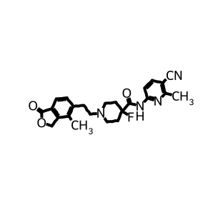 Cc1nc(NC(=O)C2(F)CCN(CCc3ccc4c(c3C)COC4=O)CC2)ccc1C#N